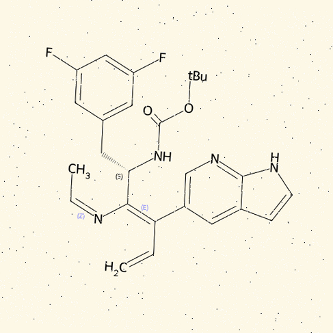 C=C/C(=C(\N=C/C)[C@H](Cc1cc(F)cc(F)c1)NC(=O)OC(C)(C)C)c1cnc2[nH]ccc2c1